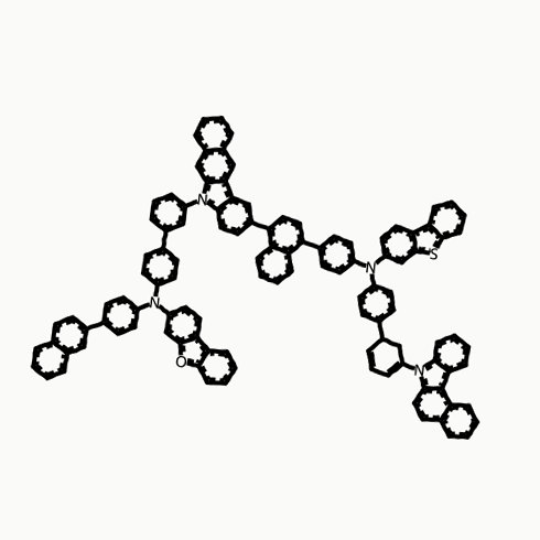 C1=CC(c2ccc(N(c3ccc(-c4ccc(-c5ccc6c(c5)c5cc7ccccc7cc5n6-c5cccc(-c6ccc(N(c7ccc(-c8ccc9ccccc9c8)cc7)c7ccc8c(c7)oc7ccccc78)cc6)c5)c5ccccc45)cc3)c3ccc4c(c3)sc3ccccc34)cc2)CC(n2c3ccccc3c3c4ccccc4ccc32)=C1